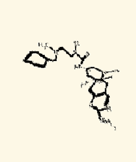 CCCN1C[C@@H](NC(=O)N(CC)CCN(C)Cc2ccccc2)C[C@@H]2Cc3nc(N)ncc3C[C@H]21